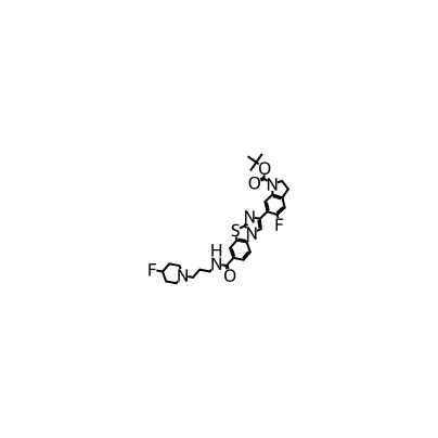 CC(C)(C)OC(=O)N1CCc2cc(F)c(-c3cn4c(n3)sc3cc(C(=O)NCCCN5CCC(F)CC5)ccc34)cc21